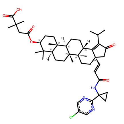 CC(C)C1=C2[C@H]3CC[C@@H]4[C@@]5(C)CC[C@H](OC(=O)CC(C)(C)C(=O)O)C(C)(C)[C@@H]5CC[C@@]4(C)[C@]3(C)CC[C@@]2(C=CC(=O)NC2(c3ncc(Cl)cn3)CC2)CC1=O